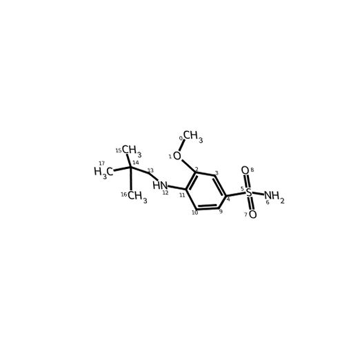 COc1cc(S(N)(=O)=O)ccc1NCC(C)(C)C